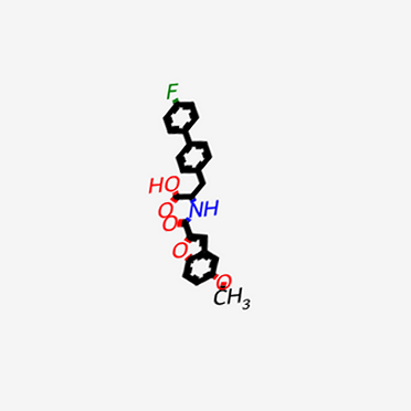 COc1ccc2oc(C(=O)NC(Cc3ccc(-c4ccc(F)cc4)cc3)C(=O)O)cc2c1